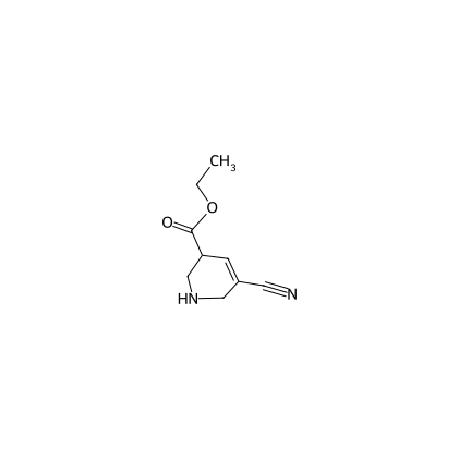 CCOC(=O)C1C=C(C#N)CNC1